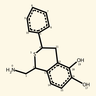 NCC1SC(c2ccccc2)Cc2c1ccc(O)c2O